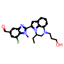 CCC1CN(CCCO)c2cccc3cc(-c4nc5cc(C=O)cc(F)c5n4C)n1c23